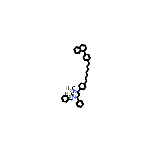 C=N/C(=C\C(c1ccccc1)N(C)Cc1ccccc1)C1=CC=C(CCCCCCCc2ccc(-c3cccc4ccccc34)cc2)CC1